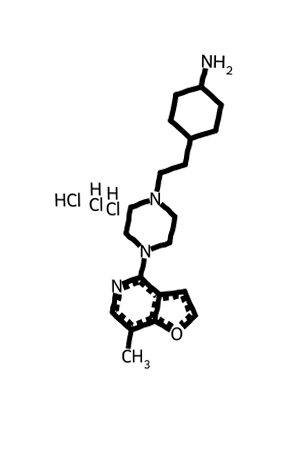 Cc1cnc(N2CCN(CCC3CCC(N)CC3)CC2)c2ccoc12.Cl.Cl.Cl